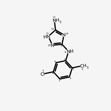 Cc1ccc(Cl)cc1Nc1n[nH]c(N)n1